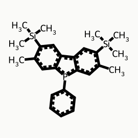 Cc1cc2c(cc1[Si](C)(C)C)c1cc([Si](C)(C)C)c(C)cc1p2-c1ccccc1